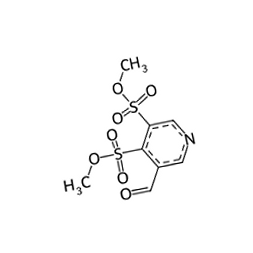 COS(=O)(=O)c1cncc(C=O)c1S(=O)(=O)OC